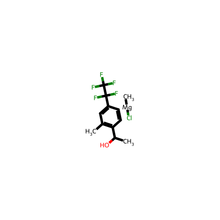 Cc1cc(C(F)(F)C(F)(F)F)ccc1C(C)O.[CH3][Mg][Cl]